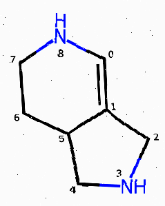 C1=C2CNCC2CCN1